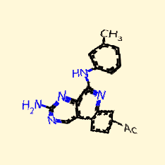 CC(=O)c1ccc2c(c1)nc(Nc1cccc(C)c1)c1nc(N)ncc12